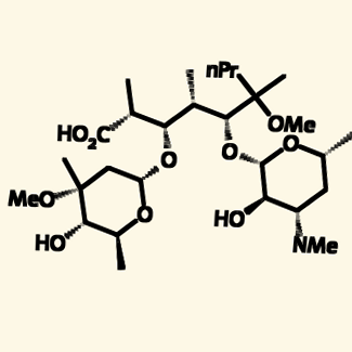 CCCC(C)(OC)[C@H](O[C@@H]1O[C@H](C)C[C@H](NC)[C@H]1O)[C@@H](C)[C@H](O[C@H]1C[C@@](C)(OC)[C@@H](O)[C@H](C)O1)[C@@H](C)C(=O)O